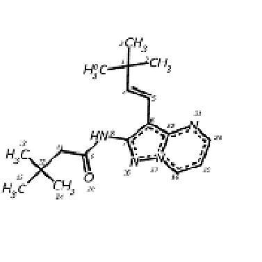 CC(C)(C)C=Cc1c(NC(=O)CC(C)(C)C)nn2cccnc12